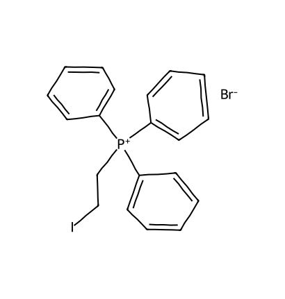 ICC[P+](c1ccccc1)(c1ccccc1)c1ccccc1.[Br-]